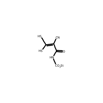 CCOC(=O)NC(=O)C(C#N)=C(S)S